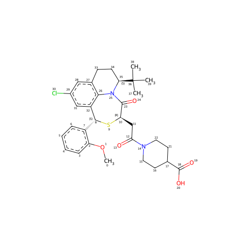 COc1ccccc1[C@H]1S[C@H](CC(=O)N2CCC(C(=O)O)CC2)C(=O)N2c3c(cc(Cl)cc31)CC[C@H]2C(C)(C)C